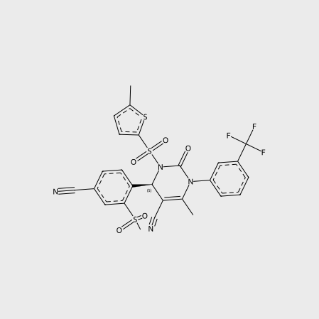 CC1=C(C#N)[C@@H](c2ccc(C#N)cc2S(C)(=O)=O)N(S(=O)(=O)c2ccc(C)s2)C(=O)N1c1cccc(C(F)(F)F)c1